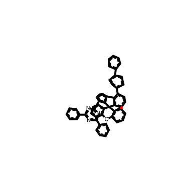 c1ccc(-c2ccc(-c3cccc4c3-c3cccc(-c5nc(-c6ccccc6)nc(-c6ccccc6)n5)c3C43c4ccccc4Oc4ccccc43)cc2)cc1